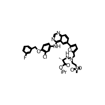 CC(C)OC(=O)[C@H](C)NN(CCS(C)(=O)=O)Cc1ccc(-c2ccc3ncnc(Nc4ccc(OCc5cccc(F)c5)c(Cl)c4)c3c2)o1